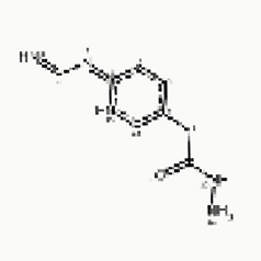 N=C/N=c1/ccc(CC(=O)NN)c[nH]1